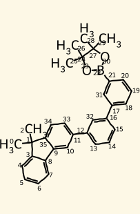 CC1(C)c2ccccc2-c2cc(-c3cccc(-c4cccc(B5OC(C)(C)C(C)(C)O5)c4)c3)ccc21